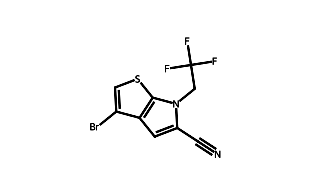 N#Cc1cc2c(Br)csc2n1CC(F)(F)F